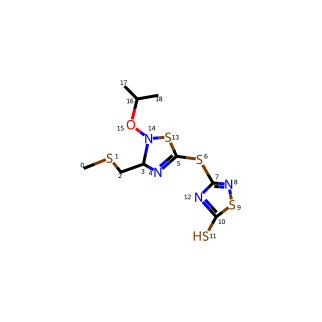 CSCC1N=C(Sc2nsc(S)n2)SN1OC(C)C